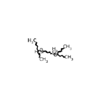 CCCCCC(CCCC)O[SiH2]CCCC[SiH2]OC(CCCC)CCCCC